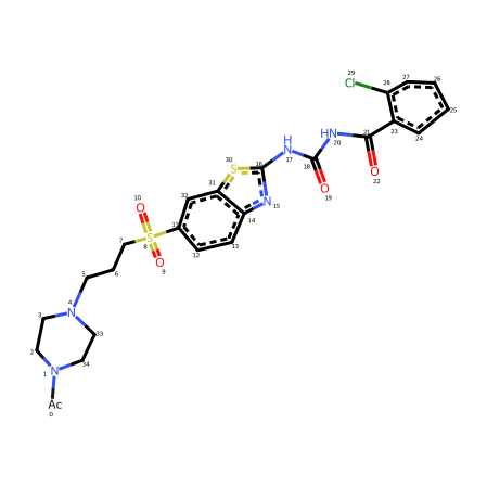 CC(=O)N1CCN(CCCS(=O)(=O)c2ccc3nc(NC(=O)NC(=O)c4ccccc4Cl)sc3c2)CC1